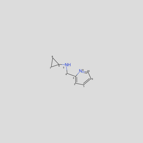 c1ccc(CNC2CC2)nc1